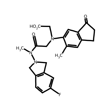 Cc1cc2c(cc1N(CC(=O)O)CC(=O)N(C)N1Cc3ccc(F)cc3C1)C(=O)CC2